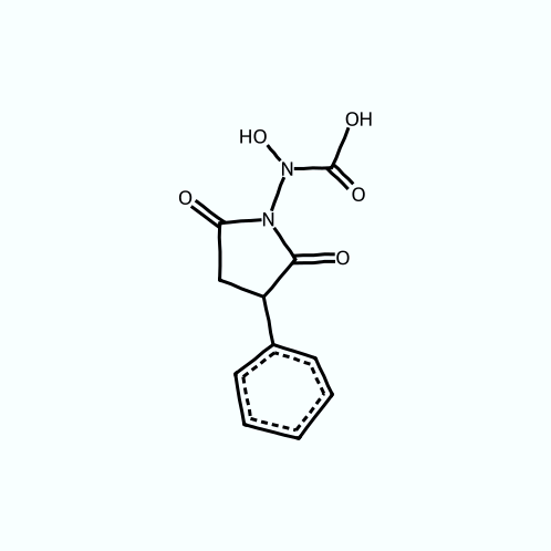 O=C(O)N(O)N1C(=O)CC(c2ccccc2)C1=O